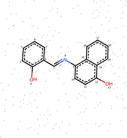 Oc1ccccc1/C=N/c1ccc(O)c2ccccc12